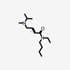 CCCCN(CC)C(=O)/C=C/CN(C)C(C)C